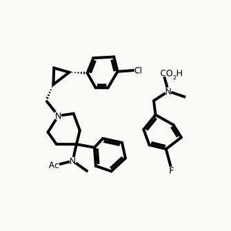 CC(=O)N(C)C1(c2ccccc2)CCN(C[C@@H]2C[C@@H]2c2ccc(Cl)cc2)CC1.CN(Cc1ccc(F)cc1)C(=O)O